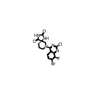 O=C1NC(=O)[C@]2(CCCN(c3nc(Cl)nc4c(F)c(Br)ccc34)C2)N1